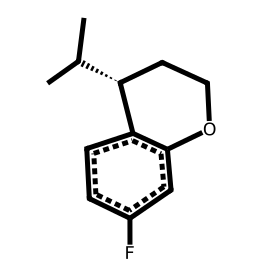 CC(C)[C@@H]1CCOc2cc(F)ccc21